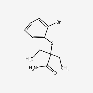 CCC(CC)(Sc1ccccc1Br)C(N)=O